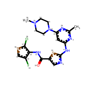 Cc1nc(Nc2ncc(C(=O)Nc3c(F)csc3Cl)s2)cc(N2CCN(C)CC2)n1